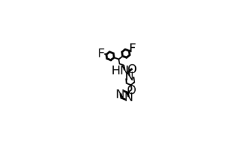 O=C(NCCC(c1ccc(F)cc1)c1ccc(F)cc1)N1CCC(Oc2cnccn2)CC1